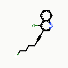 ClCCCCC#Cc1cnc2ccccc2c1Cl